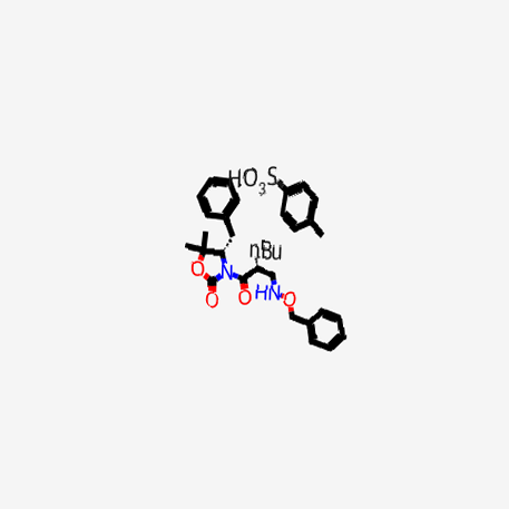 CCCC[C@H](CNOCc1ccccc1)C(=O)N1C(=O)OC(C)(C)[C@@H]1Cc1ccccc1.Cc1ccc(S(=O)(=O)O)cc1